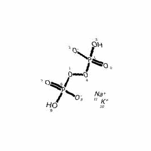 O=P([O-])(O)OOP(=O)([O-])O.[K+].[Na+]